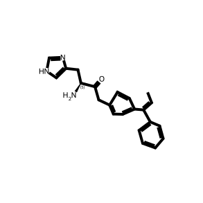 CC=C(c1ccccc1)c1ccc(CC(=O)[C@@H](N)Cc2c[nH]cn2)cc1